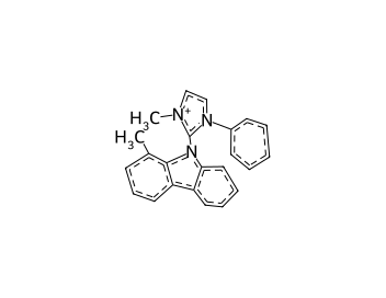 Cc1cccc2c3ccccc3n(-c3n(-c4ccccc4)cc[n+]3C)c12